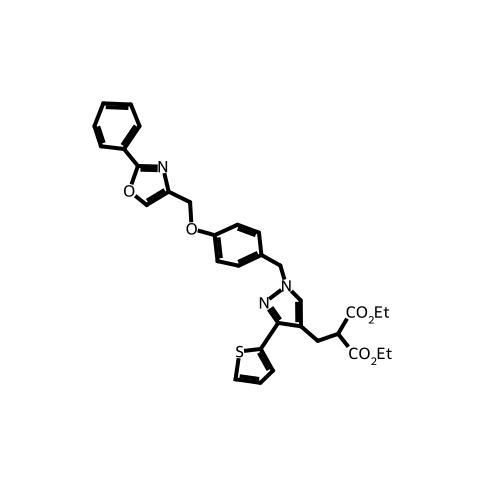 CCOC(=O)C(Cc1cn(Cc2ccc(OCc3coc(-c4ccccc4)n3)cc2)nc1-c1cccs1)C(=O)OCC